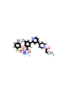 C=CC(=O)N1CCC(c2ccnc(-c3cc(C)cc(C(=O)N(N)S(=O)(=O)c4ccccc4F)c3)c2)CC1